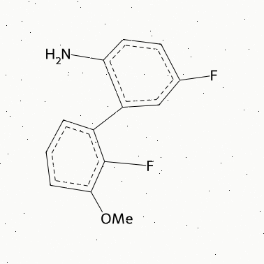 COc1cccc(-c2cc(F)ccc2N)c1F